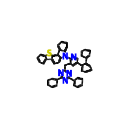 c1ccc(-c2nc(Cc3cc(-c4ccccc4-c4ccccc4)cnc3-n3c4ccccc4c4c5sc6ccccc6c5ccc43)nc(-c3ccccc3)n2)cc1